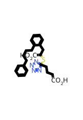 O=C(O)CCCC1(SC(Cc2ccccc2CCCCc2ccccc2)C(=O)O)N=NN=N1